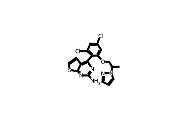 CC(COc1cc(Cl)cc(Cl)c1-c1nc(N)nc2sccc12)n1cccn1